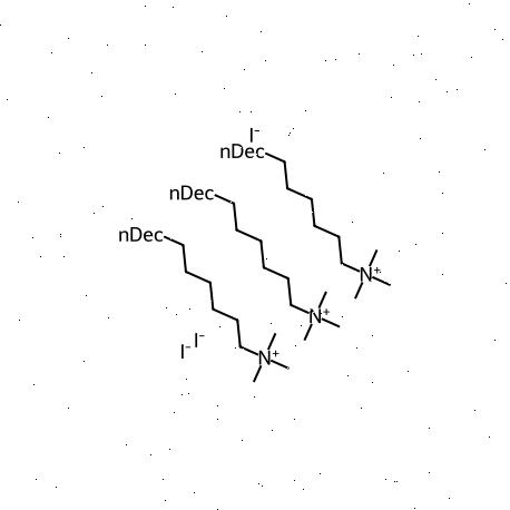 CCCCCCCCCCCCCCCC[N+](C)(C)C.CCCCCCCCCCCCCCCC[N+](C)(C)C.CCCCCCCCCCCCCCCC[N+](C)(C)C.[I-].[I-].[I-]